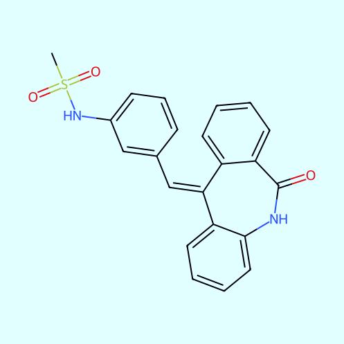 CS(=O)(=O)Nc1cccc(C=C2c3ccccc3NC(=O)c3ccccc32)c1